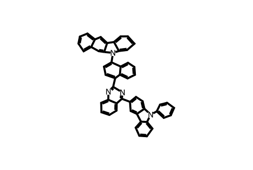 c1ccc(-n2c3ccccc3c3cc(-c4nc(-c5ccc(-n6c7ccccc7c7cc8ccccc8cc76)c6ccccc56)nc5ccccc45)ccc32)cc1